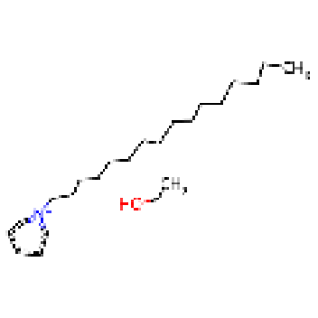 CCCCCCCCCCCCCCCC[n+]1ccccc1.CCO